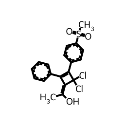 C/C(O)=C1\C(c2ccccc2)=C(c2ccc(S(C)(=O)=O)cc2)C1(Cl)Cl